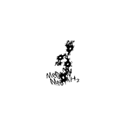 COc1cc(N)c(-c2nnn(-c3ccc(CCN(Cc4cccc(-n5ccnc5)c4)Cc4ccc5c(cnn5C)c4)cc3)n2)cc1OC